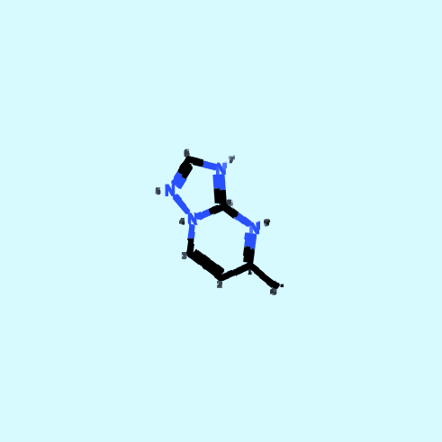 [CH2]c1ccn2ncnc2n1